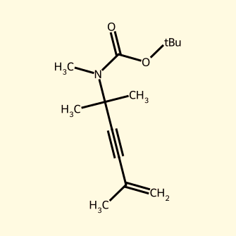 C=C(C)C#CC(C)(C)N(C)C(=O)OC(C)(C)C